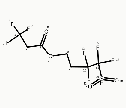 O=C(CC(F)(F)F)OCCC(F)(F)C(F)(F)[SH](=O)=O